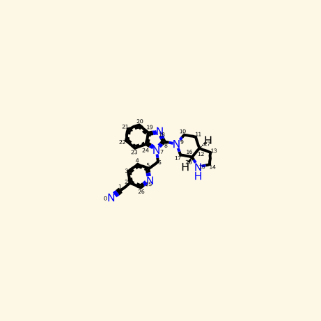 N#Cc1ccc(Cn2c(N3CC[C@H]4CCN[C@@H]4C3)nc3ccccc32)nc1